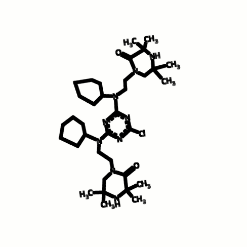 CC1(C)CN(CCN(c2nc(Cl)nc(N(CCN3CC(C)(C)NC(C)(C)C3=O)C3CCCCC3)n2)C2CCCCC2)C(=O)C(C)(C)N1